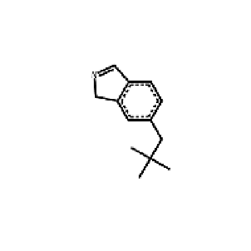 CC(C)(C)Cc1ccc2c(c1)CN=C2